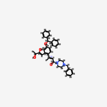 CC(=O)c1cc2c(/C(C)=C/C(=O)N3CCN(Cc4ccccc4)CC3)ccc(OC(c3ccccc3)c3ccccc3)c2o1